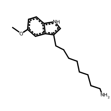 COc1ccc2[nH]cc(CCCCCCCCN)c2c1